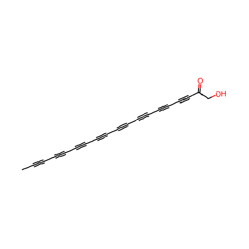 CC#CC#CC#CC#CC#CC#CC#CC#CC(=O)CO